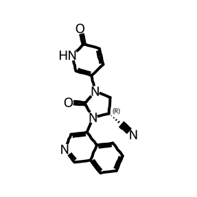 N#C[C@H]1CN(c2ccc(=O)[nH]c2)C(=O)N1c1cncc2ccccc12